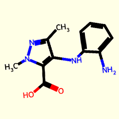 Cc1nn(C)c(C(=O)O)c1Nc1ccccc1N